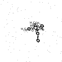 COc1ccc(NC(=O)N2C[C@H]3OC(C)(C)O[C@H]3CN3[C@H](CN4C(=O)c5ccccc5C4=O)[C@H](c4ccc(C#Cc5ccccc5)cc4)[C@@H]3C2)cc1